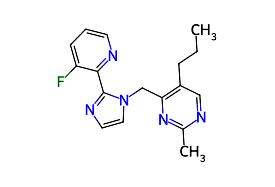 CCCc1cnc(C)nc1Cn1ccnc1-c1ncccc1F